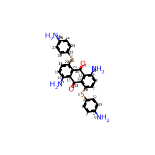 Nc1ccc(Sc2ccc(N)c3c2C(=O)c2c(N)ccc(Sc4ccc(N)cc4)c2C3=O)cc1